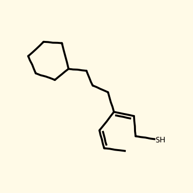 C/C=C\C(=C/CS)CCCC1CCCCC1